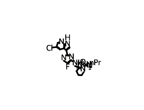 CCCN(C)C(=O)N1CCCC[C@]1(N)CNc1nc(-c2c[nH]c3ncc(Cl)cc23)ncc1F